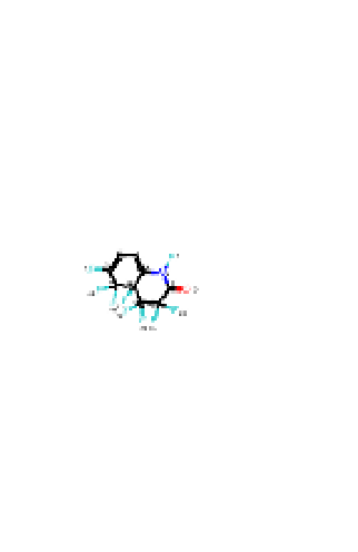 O=C1N(F)C2=CC=C(F)C(F)(F)C2(F)C(F)(F)C1(F)F